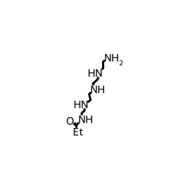 CCC(=O)NCCNCCNCCNCCN